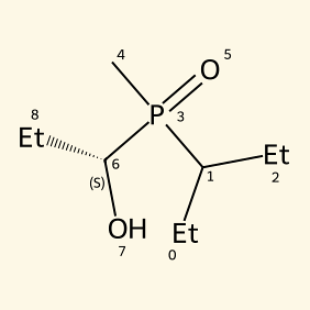 CCC(CC)P(C)(=O)[C@H](O)CC